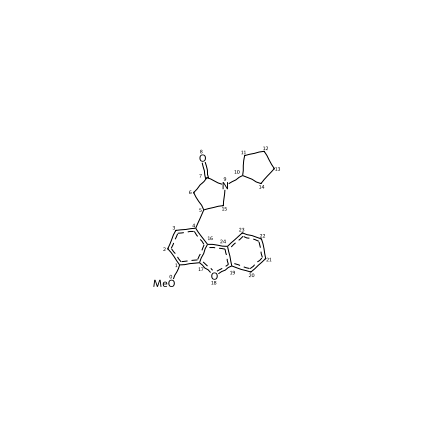 COc1ccc(C2CC(=O)N(C3CCCC3)C2)c2c1oc1ccccc12